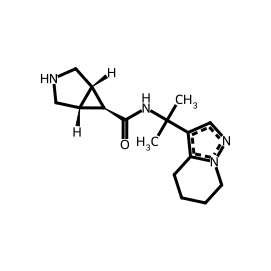 CC(C)(NC(=O)[C@H]1[C@@H]2CNC[C@@H]21)c1cnn2c1CCCC2